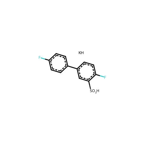 O=S(=O)(O)c1cc(-c2ccc(F)cc2)ccc1F.[KH]